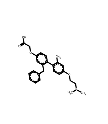 Cc1cc(OCCN(C)C)ccc1-c1ccc(OCC(=O)O)cc1Cc1ccccc1